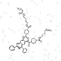 C=CC(=O)OCCCCOC(=O)C1CCC(C(=O)Oc2cc3nc(-c4ccccc4)nc(-c4ccccc4)c3cc2OC(=O)C2CCC(C(=O)OCCCCOC(C)=O)CC2)CC1